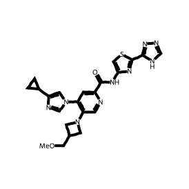 COCC1CN(c2cnc(C(=O)Nc3csc(-c4nnc[nH]4)n3)cc2-n2cnc(C3CC3)c2)C1